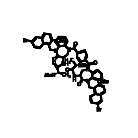 CN[C@@H](C)C(=O)NC1CN(C(=O)c2ccc(C(=O)N3CC(NC(=O)[C@H](C)NC)C(=O)N(Cc4c(OC)ccc5cc(Br)ccc45)c4ccccc43)cc2)c2ccccc2N(Cc2c(OC)ccc3cc(Br)ccc23)C1=O